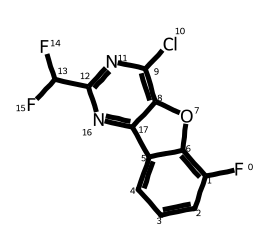 Fc1cccc2c1oc1c(Cl)nc(C(F)F)nc12